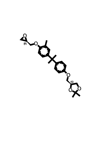 Cc1cc(C(C)(C)c2ccc(OC[C@H]3COC(C)(C)O3)cc2)ccc1OC[C@H]1CO1